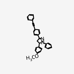 COc1ccc(C2CC(c3ccc(C#Cc4ccccc4)cc3)=NN2c2ccccc2)cc1